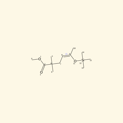 COC(=O)C(C)(C)C/C=C(/C)O[Si](C)(C)C